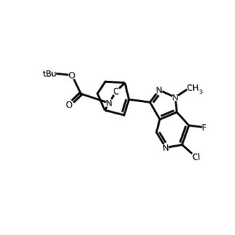 Cn1nc(C2=CC3CCC2CN3C(=O)OC(C)(C)C)c2cnc(Cl)c(F)c21